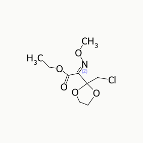 CCOC(=O)/C(=N\OC)C1(CCl)OCCO1